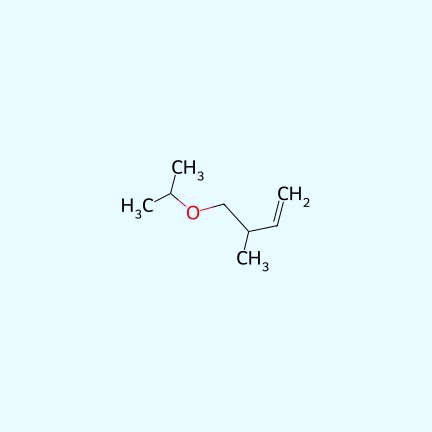 C=CC(C)COC(C)C